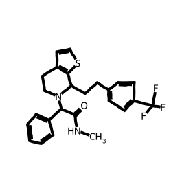 CNC(=O)C(c1ccccc1)N1CCc2ccsc2C1CCc1ccc(C(F)(F)F)cc1